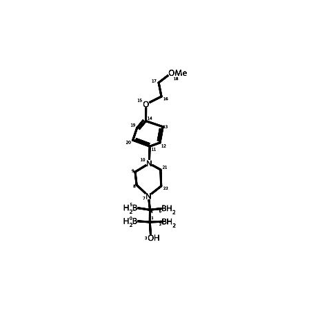 BC(B)(O)C(B)(B)N1CCN(c2ccc(OCCOC)cc2)CC1